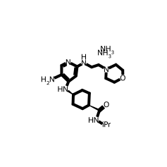 CC(C)NC(=O)[C@H]1CC[C@@H](Nc2cc(NCCN3CCOCC3)ncc2N)CC1.N.N